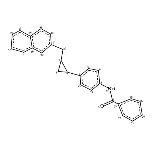 O=C(Nc1ccc(C2CC2Cc2ccc3ccccc3c2)cc1)c1ccccc1